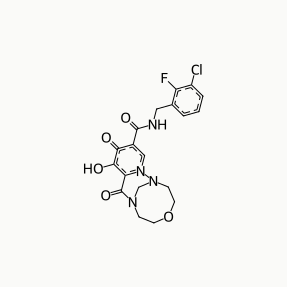 O=C(NCc1cccc(Cl)c1F)c1cn2c(c(O)c1=O)C(=O)N1CCOCCN2C1